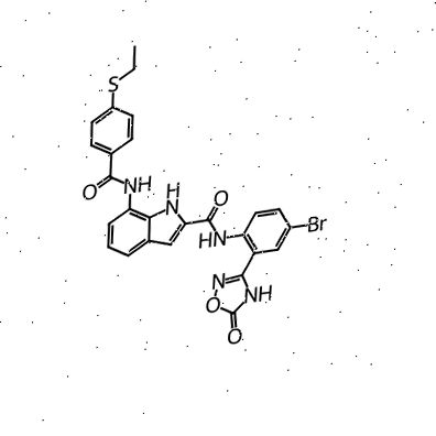 CCSc1ccc(C(=O)Nc2cccc3cc(C(=O)Nc4ccc(Br)cc4-c4noc(=O)[nH]4)[nH]c23)cc1